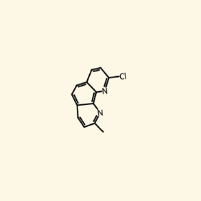 Cc1ccc2ccc3ccc(Cl)nc3c2n1